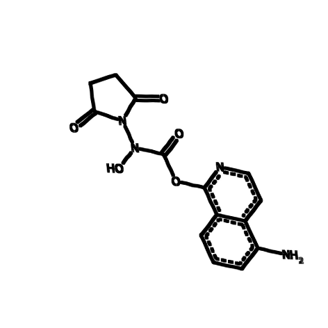 Nc1cccc2c(OC(=O)N(O)N3C(=O)CCC3=O)nccc12